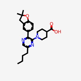 CCCCc1cnc(-c2ccc3c(c2)CC(C)(C)O3)c(N2CCC(C(=O)O)CC2)n1